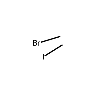 CBr.CI